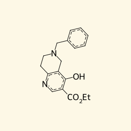 CCOC(=O)c1cnc2c(c1O)CN(Cc1ccccc1)CC2